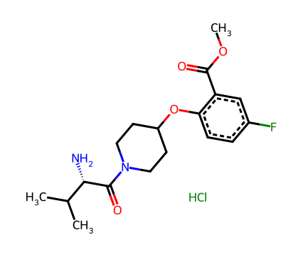 COC(=O)c1cc(F)ccc1OC1CCN(C(=O)[C@@H](N)C(C)C)CC1.Cl